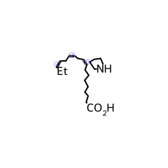 C1CCNCC1.CC/C=C\C/C=C\C/C=C\CCCCCCCC(=O)O